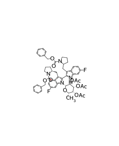 CC(=O)O[C@@H]1[C@H](OC(C)=O)[C@H](C)O[C@H](n2c(-c3[nH]c4cc(F)ccc4c3CC3CCCN3C(=O)OCc3ccccc3)c(C[C@@H]3CCCN3C(=O)OCc3ccccc3)c3ccc(F)cc32)[C@H]1OC(C)=O